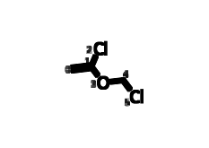 C=C(Cl)OCCl